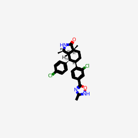 CC1N=C(c2ccc([C@@H]3CC[C@@]4(C)C(=O)N[C@H](C)[C@H]4[C@H]3c3ccc(Cl)cc3)c(Cl)c2)ON1